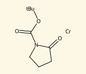 CC(C)(C)OC(=O)N1CCCC1=O.[Cr]